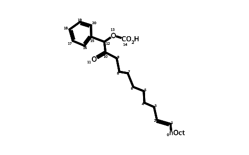 CCCCCCCCC=CCCCCCCCC(=O)C(OC(=O)O)c1ccccc1